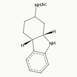 CC(=O)NC1CC[C@H]2c3ccccc3N[C@H]2C1